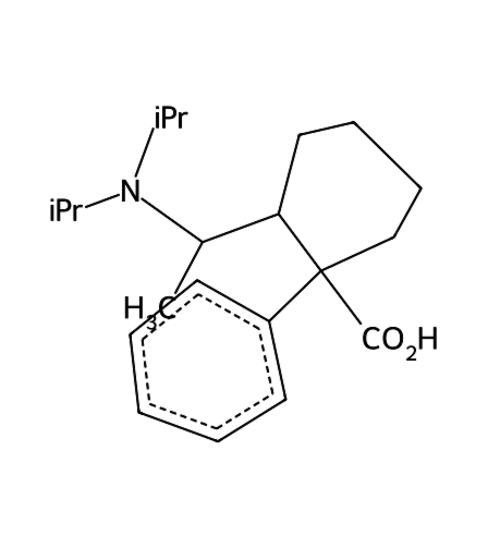 CC(C)N(C(C)C)C(C)C1CCCCC1(C(=O)O)c1ccccc1